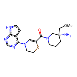 COCC1(N)CCCN(C(=O)C2=CN(c3ncnc4[nH]ccc34)CCS2)C1